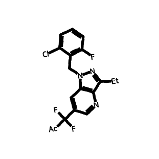 CCc1nn(Cc2c(F)cccc2Cl)c2cc(C(F)(F)C(C)=O)cnc12